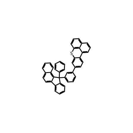 c1ccc(C2(c3cccc(-c4ccc5c(c4)Sc4cccc6cccc-5c46)c3)c3ccccc3-c3ccc4ccccc4c32)cc1